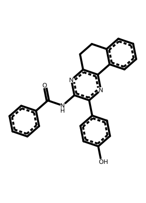 O=C(Nc1nc2c(nc1-c1ccc(O)cc1)-c1ccccc1CC2)c1ccccc1